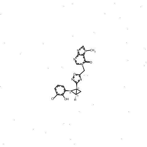 Cn1cnc2ncn(Cc3nc([C@@]45C[C@H]4[C@H]5c4cccc(Cl)c4O)no3)c(=O)c21